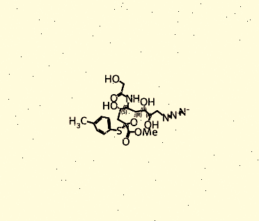 COC(=O)[C@]1(Sc2ccc(C)cc2)C[C@H](O)[C@@H](NC(=O)CO)[C@H]([C@H](O)[C@H](O)CN=[N+]=[N-])O1